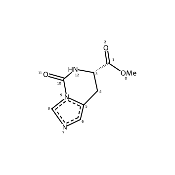 COC(=O)[C@@H]1Cc2cncn2C(=O)N1